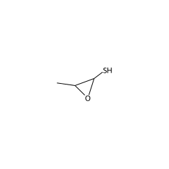 CC1OC1S